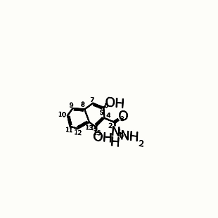 NNC(=O)c1c(O)cc2ccccc2c1O